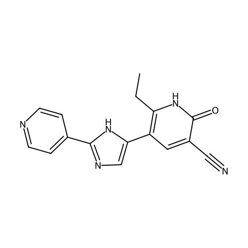 CCc1[nH]c(=O)c(C#N)cc1-c1cnc(-c2ccncc2)[nH]1